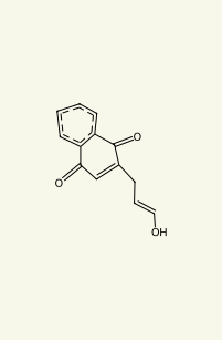 O=C1C=C(CC=CO)C(=O)c2ccccc21